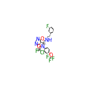 C[C@@](C(=O)NCCc1cccc(F)c1)(c1cncnc1)N(C(=O)[C@H](F)Cl)c1ccc(OC(F)(F)F)cc1